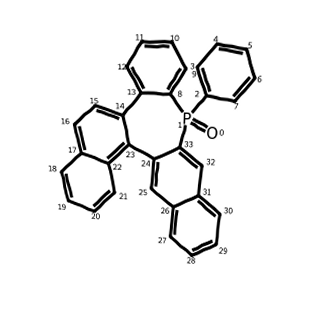 O=P1(c2ccccc2)c2ccccc2-c2ccc3ccccc3c2-c2cc3ccccc3cc21